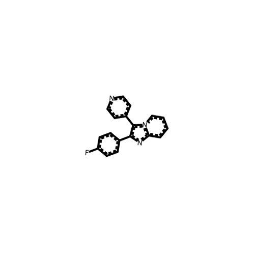 Fc1ccc(-c2nc3ccccn3c2-c2ccncc2)cc1